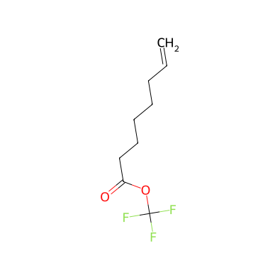 C=CCCCCCC(=O)OC(F)(F)F